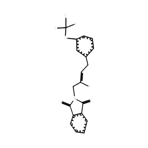 O=C1c2ccccc2C(=O)N1CC(F)=CCc1cccc(OC(F)(F)F)c1